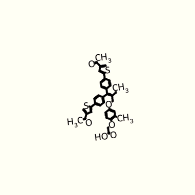 CCC(COc1ccc(OCC(=O)O)c(C)c1)=C(c1ccc(-c2cc(C(C)=O)cs2)cc1)c1ccc(-c2cc(C(C)=O)cs2)cc1